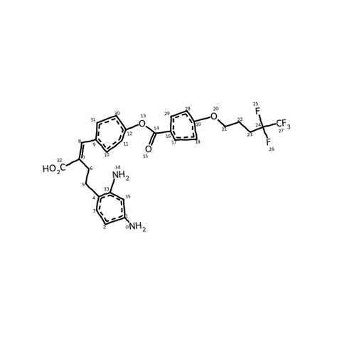 Nc1ccc(CC/C(=C\c2ccc(OC(=O)c3ccc(OCCCC(F)(F)C(F)(F)F)cc3)cc2)C(=O)O)c(N)c1